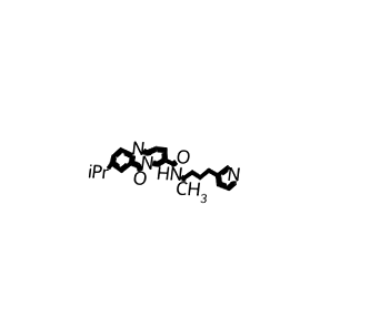 CC(CCCc1cccnc1)NC(=O)c1ccc2nc3ccc(C(C)C)cc3c(=O)n2c1